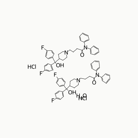 Cl.Cl.O.O=C(CCCN1CCC(C(O)(c2ccc(F)cc2)c2ccc(F)cc2)CC1)N(c1ccccc1)c1ccccc1.O=C(CCCN1CCC(C(O)(c2ccc(F)cc2)c2ccc(F)cc2)CC1)N(c1ccccc1)c1ccccc1